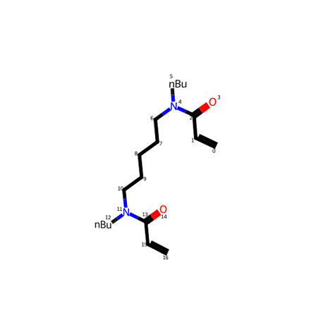 C=CC(=O)N(CCCC)CCCCCN(CCCC)C(=O)C=C